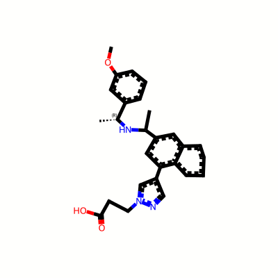 COc1cccc([C@@H](C)NC(C)c2cc(-c3cnn(CCC(=O)O)c3)c3ccccc3c2)c1